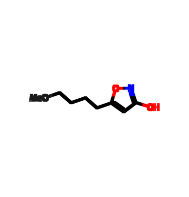 COCCCCc1cc(O)no1